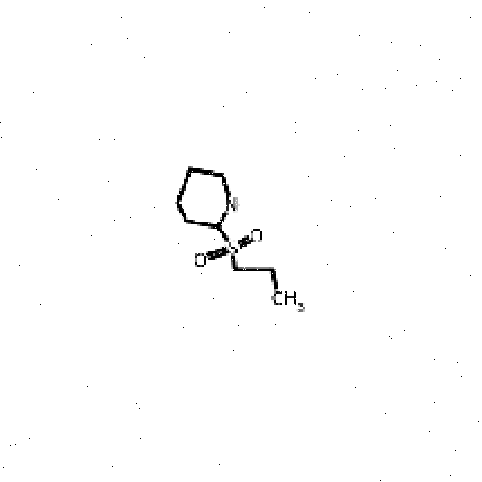 CCCS(=O)(=O)C1CCCC[N]1